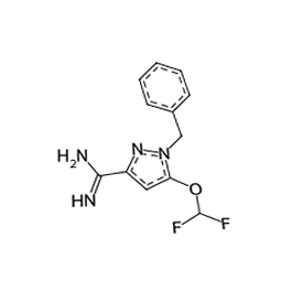 N=C(N)c1cc(OC(F)F)n(Cc2ccccc2)n1